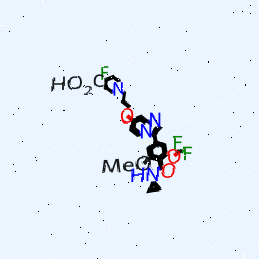 COc1cc(-c2cnc3cc(OCCCN4CCC(F)(C(=O)O)CC4)ccn23)cc(OC(F)F)c1C(=O)NC1CC1